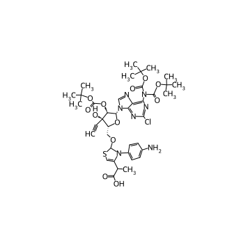 C#C[C@@]1(O)[C@@H](COC2SC=C(C(C)C(=O)O)N2c2ccc(N)cc2)O[C@@H](n2cnc3c(N(C(=O)OC(C)(C)C)C(=O)OC(C)(C)C)nc(Cl)nc32)[C@@H]1OC(=O)OC(C)(C)C